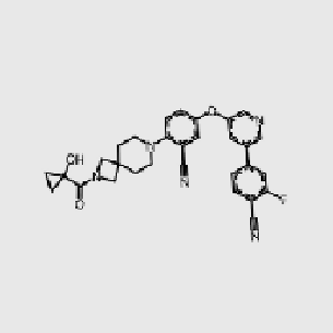 N#Cc1ccc(-c2cncc(Oc3ccc(N4CCC5(CC4)CN(C(=O)C4(O)CC4)C5)c(C#N)c3)c2)cc1F